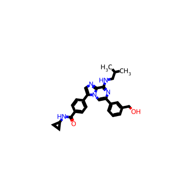 CC(C)CNc1nc(-c2cccc(CO)c2)cn2c(-c3ccc(C(=O)NC4CC4)cc3)cnc12